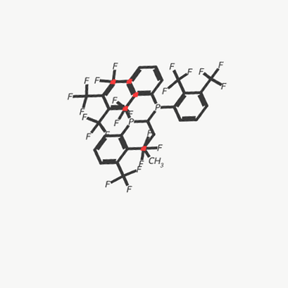 CCCC(P(c1cccc(C(F)(F)F)c1C(F)(F)F)c1cccc(C(F)(F)F)c1C(F)(F)F)P(c1cccc(C(F)(F)F)c1C(F)(F)F)c1cccc(C(F)(F)F)c1C(F)(F)F